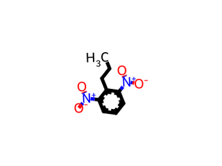 CCCc1c([N+](=O)[O-])cccc1[N+](=O)[O-]